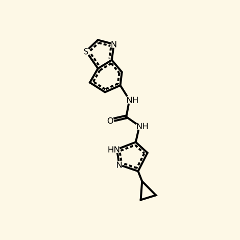 O=C(Nc1ccc2scnc2c1)Nc1cc(C2CC2)n[nH]1